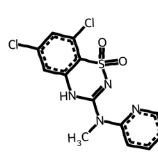 CN(C1=NS(=O)(=O)c2c(Cl)cc(Cl)cc2N1)c1ccccn1